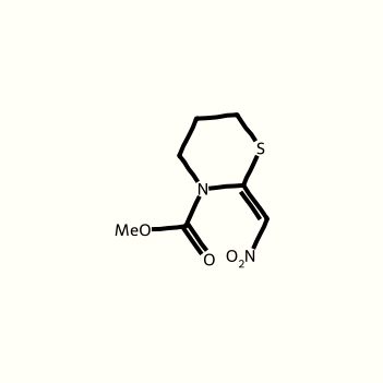 COC(=O)N1CCCSC1=C[N+](=O)[O-]